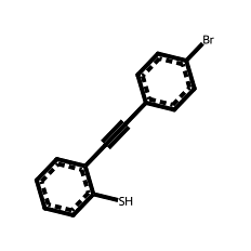 Sc1ccccc1C#Cc1ccc(Br)cc1